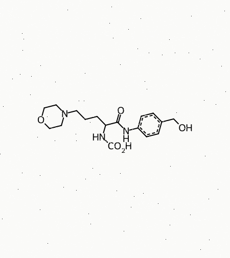 O=C(O)NC(CCCN1CCOCC1)C(=O)Nc1ccc(CO)cc1